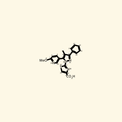 COc1ccc(-c2c(C)c(-c3ccccc3)nn2-c2nc(C(=O)O)cs2)cn1